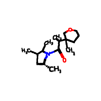 CC1C[C@@H](C)N(C(=O)C(C)C2(C)CCCOC2)C1C